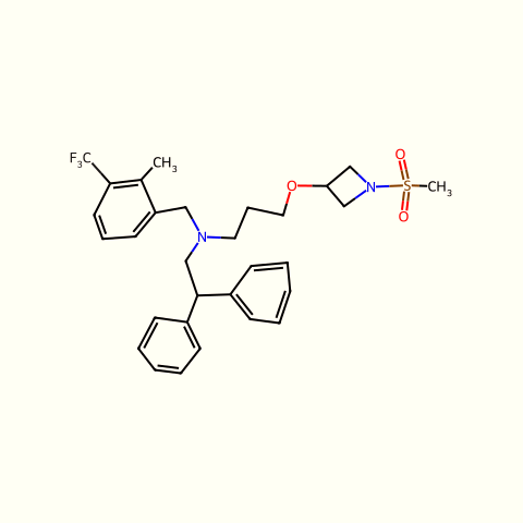 Cc1c(CN(CCCOC2CN(S(C)(=O)=O)C2)CC(c2ccccc2)c2ccccc2)cccc1C(F)(F)F